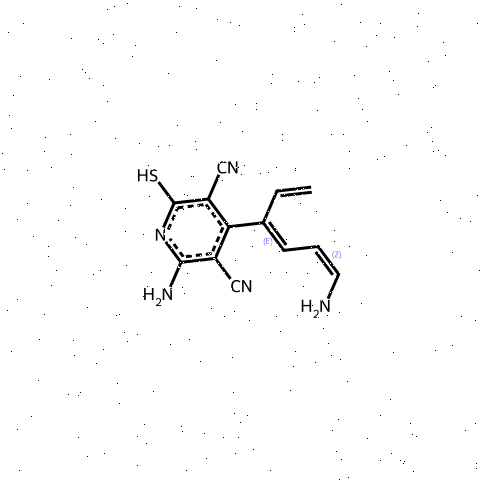 C=C/C(=C\C=C/N)c1c(C#N)c(N)nc(S)c1C#N